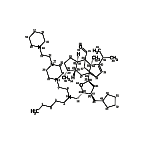 CCCCCN(CCN1CCN(CCN2CCCCC2)CC1)C[C@@H]1O[C@@H](C23C[C@@H]4[C@H](C)CC[C@H]4C4(C=O)CC2C=C(C(C)C)[C@]43C)C[C@H]1CC1CCCC1